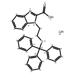 O=C(O)c1nc2ccccc2n1CCSC(c1ccccc1)(c1ccccc1)c1ccccc1.[LiH]